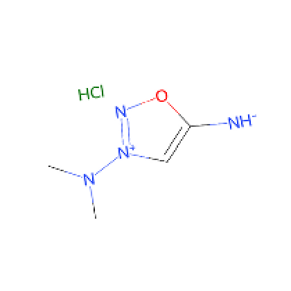 CN(C)[n+]1cc([NH-])on1.Cl